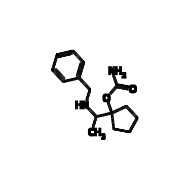 CC(NCc1ccccc1)C1(OC(N)=O)CCCC1